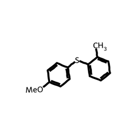 COc1ccc(Sc2ccccc2C)cc1